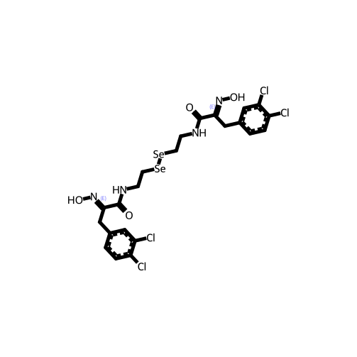 O=C(NCC[Se][Se]CCNC(=O)/C(Cc1ccc(Cl)c(Cl)c1)=N/O)/C(Cc1ccc(Cl)c(Cl)c1)=N/O